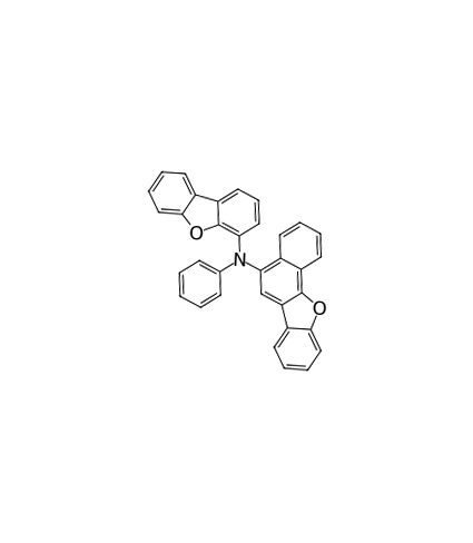 c1ccc(N(c2cc3c4ccccc4oc3c3ccccc23)c2cccc3c2oc2ccccc23)cc1